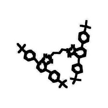 CC(C)(C)c1ccc(-c2ccc(-c3ccc(C(C)(C)C)cc3)c3nn(CCCn4nc5c(-c6ccc(C(C)(C)C)cc6)ccc(-c6ccc(C(C)(C)C)cc6)c5n4)nc23)cc1